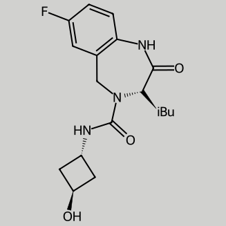 CC[C@H](C)[C@H]1C(=O)Nc2ccc(F)cc2CN1C(=O)N[C@H]1C[C@H](O)C1